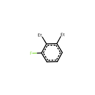 CCc1cccc(F)c1CC